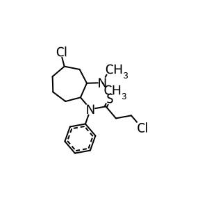 CN(C)C1CC(Cl)CCCC1N(C(=S)CCCl)c1ccccc1